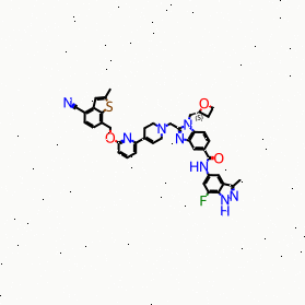 Cc1cc2c(C#N)ccc(COc3cccc(C4=CCN(Cc5nc6cc(C(=O)Nc7cc(F)c8[nH]nc(C)c8c7)ccc6n5C[C@@H]5CCO5)CC4)n3)c2s1